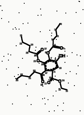 CCCCC(=O)Oc1c(O)cc(C(=O)OCC)c(C(=O)CCCC)c1OC(=O)CCCC